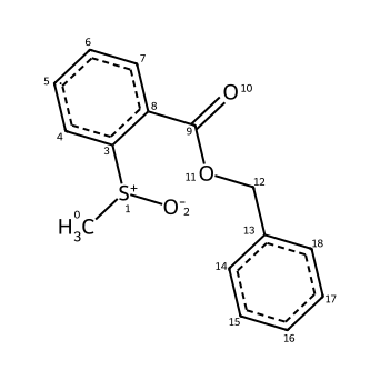 C[S+]([O-])c1c[c]ccc1C(=O)OCc1ccccc1